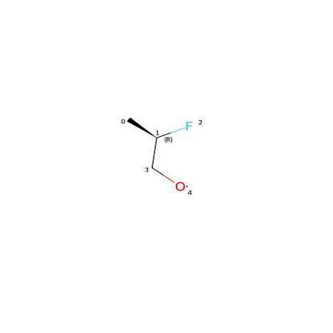 C[C@@H](F)C[O]